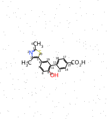 Cc1nc(C)c(-c2ccc(O)c(-c3ccc(C(=O)O)cc3)c2)s1